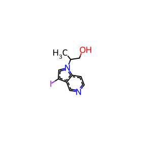 CC(CO)n1cc(I)c2cnccc21